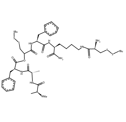 CN[C@@H](C)C(=O)N[C@@H](C)C(=O)N[C@@H](Cc1ccccc1)C(=O)OC(CSSC(C)(C)C)C(=O)N[C@@H](Cc1ccccc1)C(=O)N[C@@H](CCCCNC(=O)[C@@H](N)CSSC(C)(C)C)C(N)=O